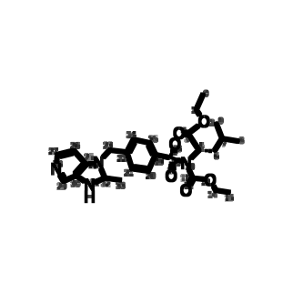 CCOC(=O)[C@H](CC(C)C)N(C(=O)OCC)S(=O)(=O)c1ccc(CN2c3ccncc3NC2C)cc1